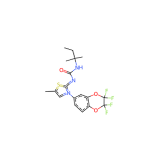 CCC(C)(C)NC(=O)/N=c1\sc(C)cn1-c1ccc2c(c1)OC(F)(F)C(F)(F)O2